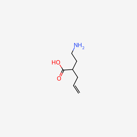 C=CCC(CCN)C(=O)O